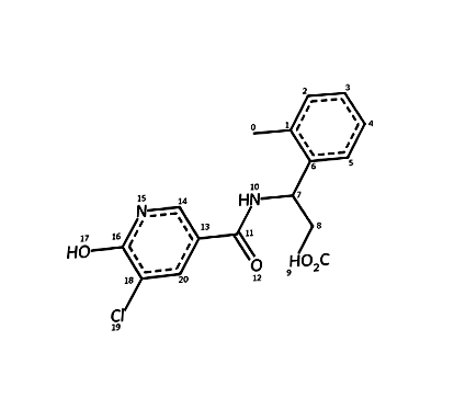 Cc1ccccc1C(CC(=O)O)NC(=O)c1cnc(O)c(Cl)c1